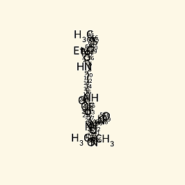 CCn1c2ccc(CNCCCCCCCCCCNC(=O)COc3ccc(CCc4nc5cc(-c6c(C)noc6C)ccc5n4CCN4CCOCC4)cc3F)cc2c2ccc(-c3cc(C)cs3)cc21